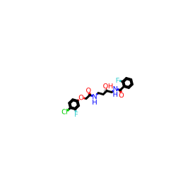 O=C(COc1ccc(Cl)c(F)c1)NCC[C@H](O)CNC(=O)c1ccccc1F